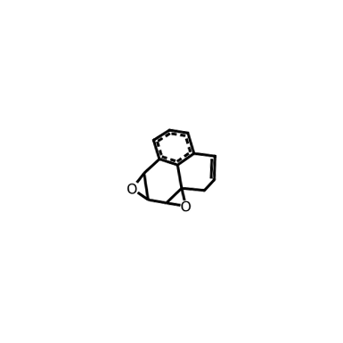 C1=Cc2cccc3c2C2(C1)OC2C1OC31